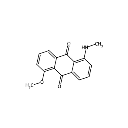 CNc1cccc2c1C(=O)c1cccc(OC)c1C2=O